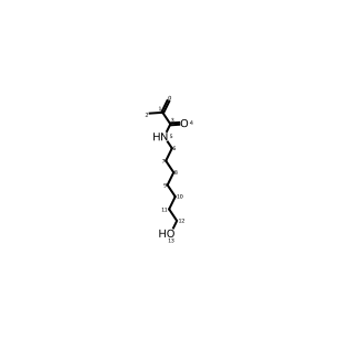 C=C(C)C(=O)NCCCCCCCO